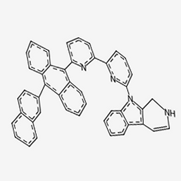 C1=Cc2c(n(-c3cccc(-c4cccc(-c5c6ccccc6c(-c6ccc7ccccc7c6)c6ccccc56)n4)n3)c3ccccc23)CN1